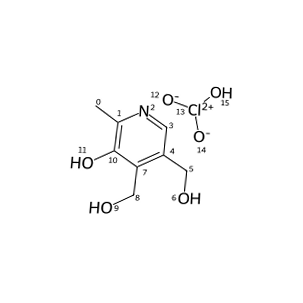 Cc1ncc(CO)c(CO)c1O.[O-][Cl+2]([O-])O